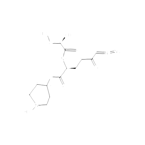 CO[C@@H](C)C(=O)N[C@@H](CCC(=O)C=[N+]=[N-])C(=O)OC1CCN(C)CC1